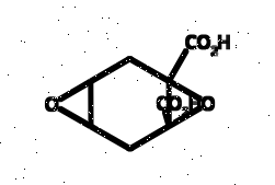 O=C(O)C12CC3OC3CC1(C(=O)O)O2